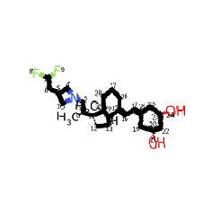 C[C@H](CN1CC(CC(F)F)C1)[C@H]1CC[C@H]2/C(=C/C=C3C[C@@H](O)C[C@H](O)C3)CCC[C@]12C